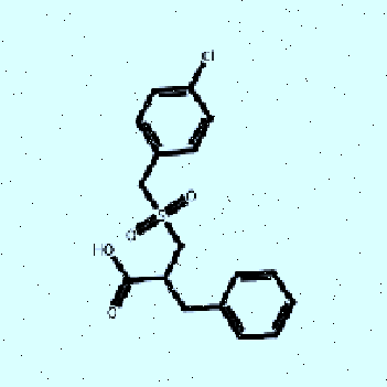 O=C(O)C(Cc1ccccc1)CS(=O)(=O)Cc1ccc(Cl)cc1